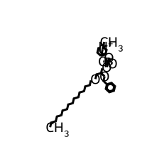 CCCCCCCCCCCCCCCCOCC(COP(=O)([O-])OC1C[N+]2(C)CCC1CC2)OCc1ccccc1